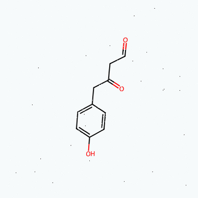 O=CCC(=O)Cc1ccc(O)cc1